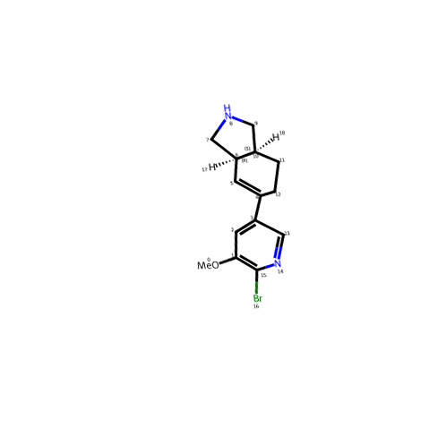 COc1cc(C2=C[C@H]3CNC[C@H]3CC2)cnc1Br